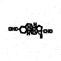 C#C[C@]1(C=O)CC[C@H]2[C@@H]3CCC4=CC(C=O)CC[C@@H]4[C@H]3CC[C@@]21C